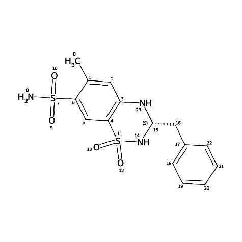 Cc1cc2c(cc1S(N)(=O)=O)S(=O)(=O)N[C@@H](Cc1ccccc1)N2